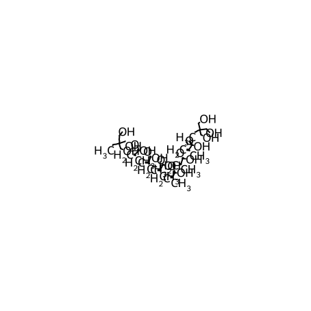 C=C(C)C(=O)O.C=C(C)C(=O)O.C=C(C)C(=O)O.C=C(C)C(=O)O.C=C(C)C(=O)O.C=C(C)C(=O)O.CCC(CO)(CO)CO.CCC(CO)(CO)CO